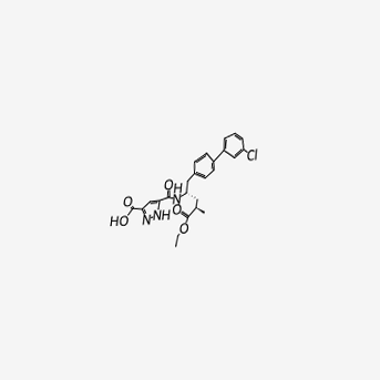 CCOC(=O)[C@H](C)C[C@@H](Cc1ccc(-c2cccc(Cl)c2)cc1)NC(=O)c1cc(C(=O)O)n[nH]1